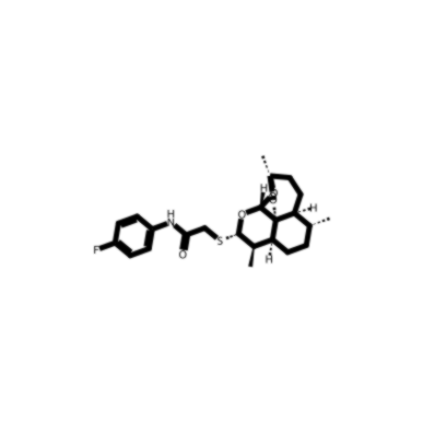 C[C@H]1[C@H](SCC(=O)Nc2ccc(F)cc2)O[C@@H]2O[C@]3(C)CC[C@H]4[C@H](C)CC[C@@H]1[C@@]24OO3